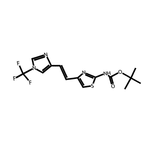 CC(C)(C)OC(=O)Nc1nc(/C=C/c2cn(C(F)(F)F)cn2)cs1